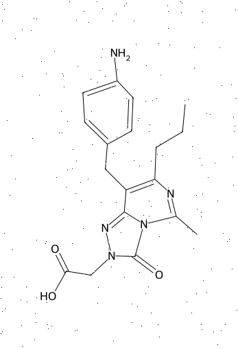 CCCc1nc(C)n2c(=O)n(CC(=O)O)nc2c1Cc1ccc(N)cc1